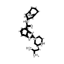 CC(C)C[C@H]1CN(c2nc3c(C(=O)NC4CC5CCCC(C4)N5C)cccc3o2)CCN1